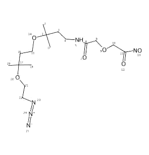 CC(C)(CCNC(=O)COCC(=O)N=O)OCCC(C)(C)OCCN=[N+]=[N-]